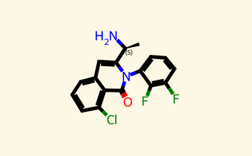 C[C@H](N)c1cc2cccc(Cl)c2c(=O)n1-c1cccc(F)c1F